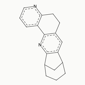 c1cnc2c(c1)-c1nc3c(cc1CC2)C1CCCC3C1